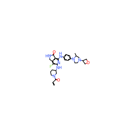 C=CC(=O)N1CCCC(Nc2nc(Nc3ccc(N4CCN(C5COC5)CC4C)cc3)c3c(c2F)CNC3=O)C1